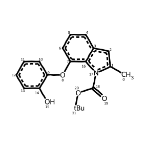 Cc1cc2cccc(Oc3ccccc3O)c2n1C(=O)OC(C)(C)C